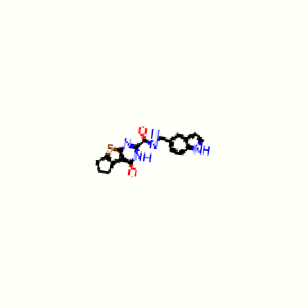 O=C(NCc1ccc2[nH]ccc2c1)c1nc2sc3c(c2c(=O)[nH]1)CCC3